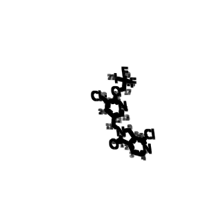 O=C1c2ccnc(Cl)c2CN1Cc1cnc(OCC(F)(F)I)c(Cl)c1